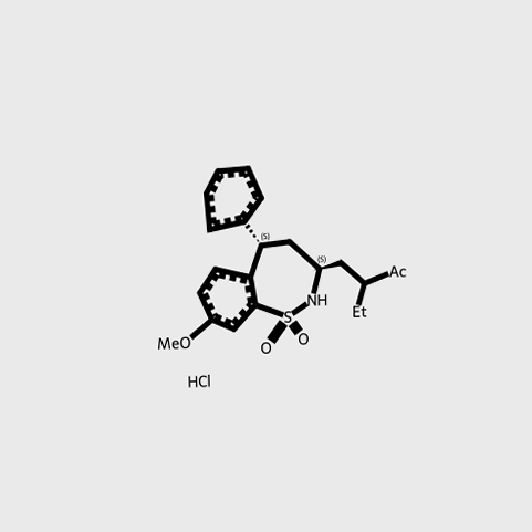 CCC(C[C@@H]1C[C@@H](c2ccccc2)c2ccc(OC)cc2S(=O)(=O)N1)C(C)=O.Cl